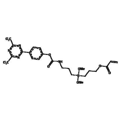 C=CC(=O)OCCC[Si](CCCNC(=O)Oc1ccc(-c2nc(C(Cl)(Cl)Cl)nc(C(Cl)(Cl)Cl)n2)cc1)(OC)OC